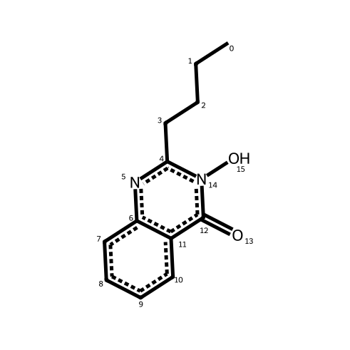 CCCCc1nc2ccccc2c(=O)n1O